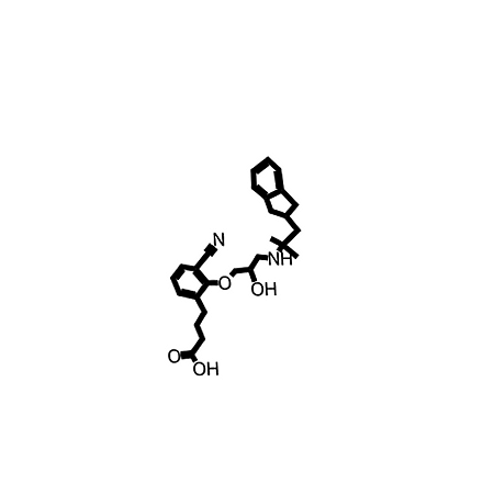 CC(C)(CC1Cc2ccccc2C1)NCC(O)COc1c(C#N)cccc1CCCC(=O)O